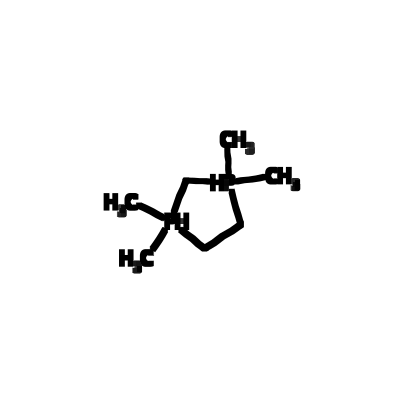 C[PH]1(C)CC[PH](C)(C)C1